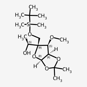 CO[C@H]1[C@H]2OC(C)(C)O[C@H]2O[C@]1(CO[Si](C)(C)C(C)(C)C)[C@H](C)O